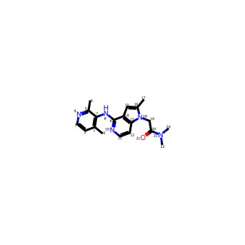 Cc1ccnc(C)c1Nc1nccc2c1cc(C)n2CC(=O)N(C)C